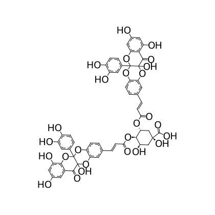 O=C(/C=C/c1ccc2c(c1)OC1(O)C(=O)c3cc(O)cc(O)c3OC1(c1ccc(O)c(O)c1)O2)O[C@@H]1[C@H](O)C[C@@](O)(C(=O)O)C[C@H]1OC(=O)/C=C/c1ccc2c(c1)OC1(O)C(=O)c3c(O)cc(O)cc3OC1(c1ccc(O)c(O)c1)O2